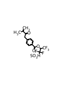 C=C(C)C(=O)Cc1ccc(C(=O)OC(C(F)(F)F)C(F)(F)S(=O)(=O)O)cc1